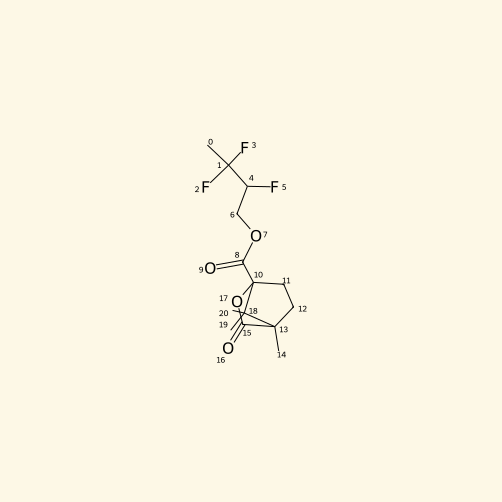 CC(F)(F)C(F)COC(=O)C12CCC(C)(C(=O)O1)C2(C)C